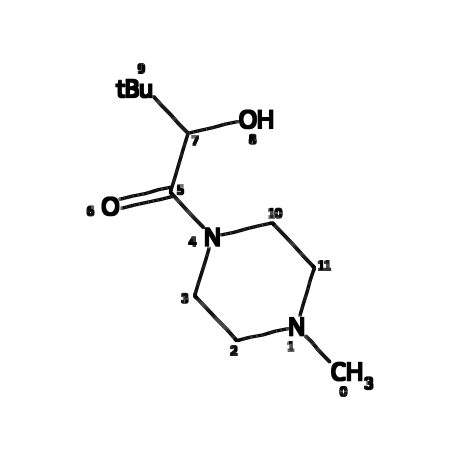 CN1CCN(C(=O)C(O)C(C)(C)C)CC1